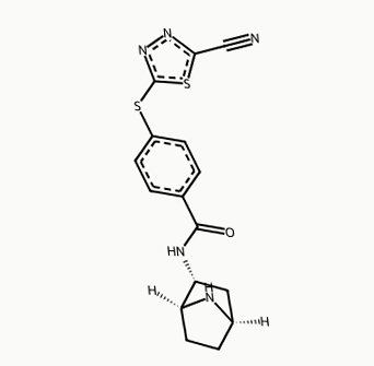 N#Cc1nnc(Sc2ccc(C(=O)N[C@@H]3C[C@H]4CC[C@@H]3N4)cc2)s1